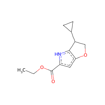 CCOC(=O)c1cc2c([nH]1)C(C1CC1)CO2